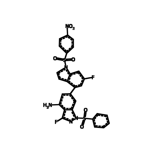 Nc1cc(-c2cc(F)cc3c2ccn3S(=O)(=O)c2ccc([N+](=O)[O-])cc2)cc2c1c(F)nn2S(=O)(=O)c1ccccc1